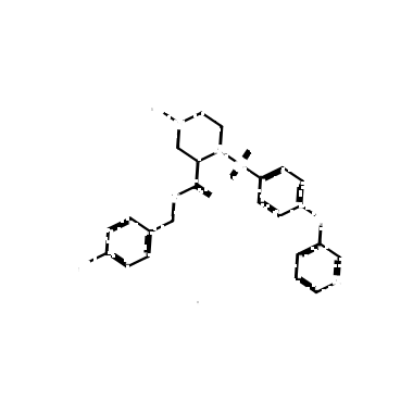 CC(=O)N1CCN(S(=O)(=O)c2ccc(Oc3cccnc3)cc2)C(C(=O)NCc2ccc(C(F)(F)F)cc2)C1.Cl